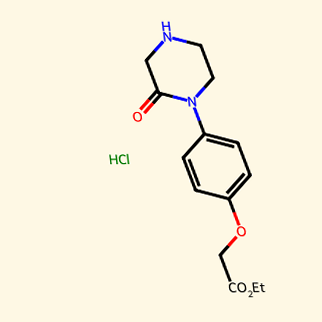 CCOC(=O)COc1ccc(N2CCNCC2=O)cc1.Cl